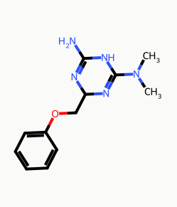 CN(C)C1=NC(COc2ccccc2)N=C(N)N1